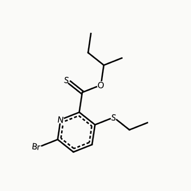 CCSc1ccc(Br)nc1C(=S)OC(C)CC